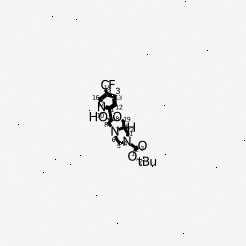 CC(C)(C)OC(=O)N1CCN2C[C@@](O)(c3ccc(C(F)(F)F)cn3)OC[C@@H]2C1